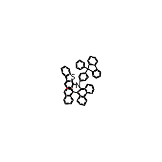 c1ccc(C2(c3ccc(N(c4c(-c5cccc6ccccc56)c5ccccc5c5ccccc45)c4cccc5c4sc4ccccc45)cc3)c3ccccc3-c3ccccc32)cc1